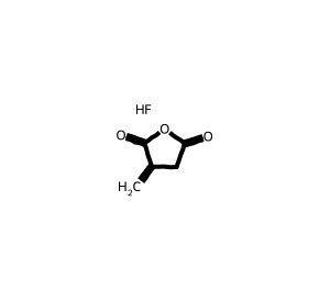 C=C1CC(=O)OC1=O.F